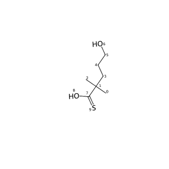 CC(C)(CCCO)C(O)=S